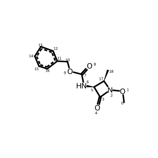 CON1C(=O)[C@@H](NC(=O)OCc2ccccc2)[C@H]1C